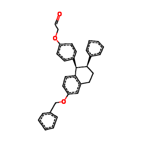 O=CCOc1ccc([C@@H]2c3ccc(OCc4ccccc4)cc3CC[C@@H]2c2ccccc2)cc1